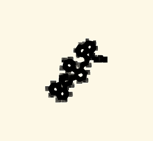 CCCCN1c2cccc3cccc(c23)C1C=CC1=C(c2ccccc2)C(=CC=c2c3cccc4cccc(c43)n2CCCC)CCC1